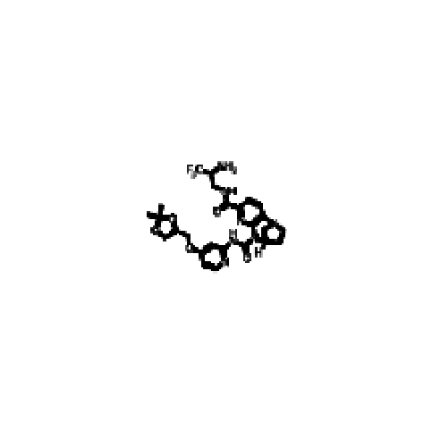 CC1(C)OC[C@H](COc2ccnc(NC(=O)N3c4nc(C(=O)NCC(N)C(F)(F)F)ccc4N4CC[C@H]3C4)c2)O1